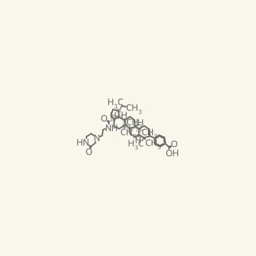 CC(C)[C@@H]1CC[C@]2(C(=O)NCCN3CCNC(=O)C3)CC[C@]3(C)[C@H](CC[C@@H]4[C@@]5(C)CC=C(c6ccc(C(=O)O)cc6)C(C)(C)[C@@H]5CC[C@]43C)[C@@H]12